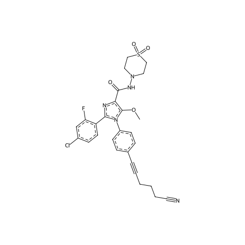 COc1c(C(=O)NN2CCS(=O)(=O)CC2)nc(-c2ccc(Cl)cc2F)n1-c1ccc(C#CCCCC#N)cc1